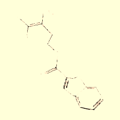 CC(CCOC(=O)c1cc2ccccc2s1)=C(F)F